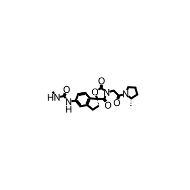 CNC(=O)Nc1ccc2c(c1)CC[C@@]21OC(=O)N(CC(=O)N2CCC[C@@H]2C)C1=O